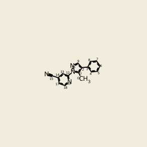 Cc1c(-c2ccccc2)cnn1-c1cc(C#N)ccn1